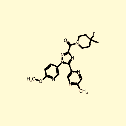 COc1ccc(-n2nc(C(=O)N3CCC(F)(F)CC3)nc2-c2cnc(C)cn2)cn1